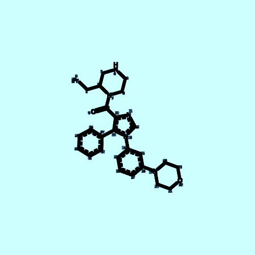 CC(C)CC1CNCCN1C(=O)c1ncn(-c2cccc(N3CCOCC3)c2)c1-c1ccccc1